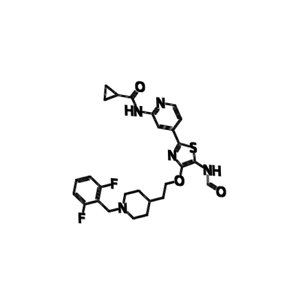 O=CNc1sc(-c2ccnc(NC(=O)C3CC3)c2)nc1OCCC1CCN(Cc2c(F)cccc2F)CC1